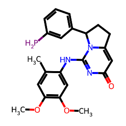 COc1cc(C)c(Nc2nc(=O)cc3n2C(c2cccc(P)c2)CC3)cc1OC